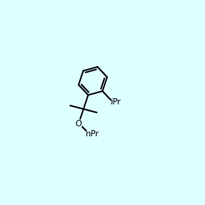 CCCOC(C)(C)c1ccccc1C(C)C